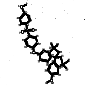 COc1ccc(S(=O)(=O)c2ccc(Oc3ccc4c(c3)C(C)(C)CC43CC(C)(C)c4cc(OC)ccc43)cc2)cc1